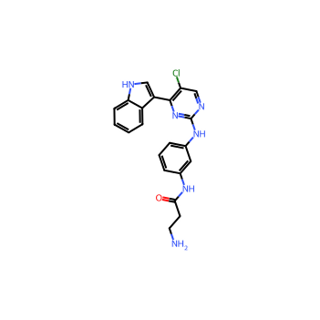 NCCC(=O)Nc1cccc(Nc2ncc(Cl)c(-c3c[nH]c4ccccc34)n2)c1